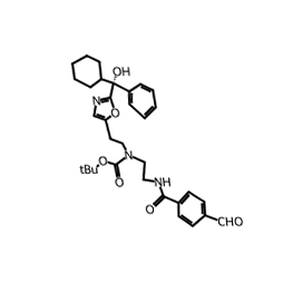 CC(C)(C)OC(=O)N(CCNC(=O)c1ccc(C=O)cc1)CCc1cnc([C@](O)(c2ccccc2)C2CCCCC2)o1